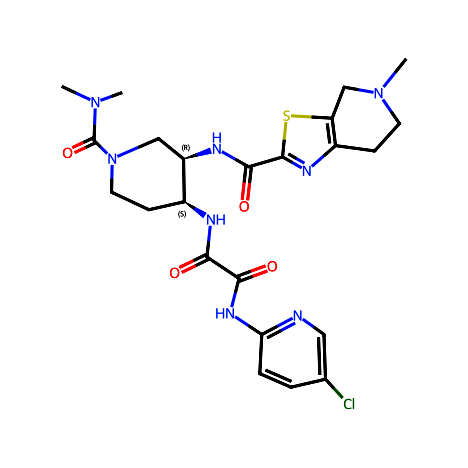 CN1CCc2nc(C(=O)N[C@@H]3CN(C(=O)N(C)C)CC[C@@H]3NC(=O)C(=O)Nc3ccc(Cl)cn3)sc2C1